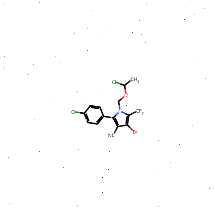 CC(Cl)OCn1c(-c2ccc(Cl)cc2)c(C#N)c(Br)c1C(F)(F)F